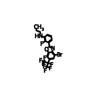 CCCNc1cccc(-c2nc3c(Br)cc(C(F)(C(F)(F)F)C(F)(F)F)cc3o2)c1F